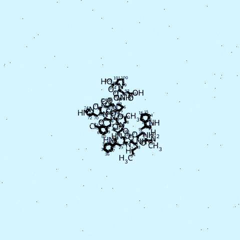 CCCC[C@H](NC(=O)[C@H](Cc1c[nH]c2ccccc12)NC(=O)[C@H](C)N)C(=O)N[C@@H](Cc1c[nH]c2ccccc12)C(=O)N[C@@H](CO)C(=O)N(CCC)CC(=O)N(C)[C@@H](Cc1cccc(Cl)c1)C(=O)N(C)[C@@H](Cc1c[nH]cn1)C(=O)N(C)CC(=O)N1CCC[C@H]1C(=O)N[C@@H](CC(=O)O)C(=O)N1CCC[C@H]1C(=O)O